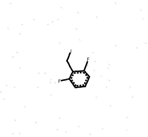 Fc1cccc(F)c1CI